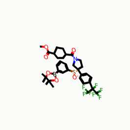 COC(=O)C1CCC(C(=O)N2CCC(c3ccc(C(F)(C(F)(F)F)C(F)(F)F)cc3)([S+]([O-])c3cccc(B4OC(C)(C)C(C)(C)O4)c3)C2)CC1